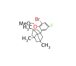 COCOc1c(Br)cc(F)cc1C12CC3(C)CC(C)(CC(C)(C3)C1)C2